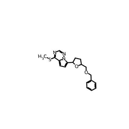 CSc1ncnn2c(C3CCC(COCc4ccccc4)O3)ccc12